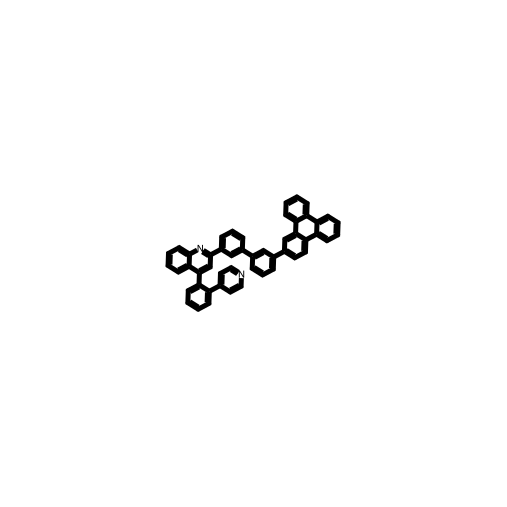 c1cc(-c2cccc(-c3cc(-c4ccccc4-c4ccncc4)c4ccccc4n3)c2)cc(-c2ccc3c4ccccc4c4ccccc4c3c2)c1